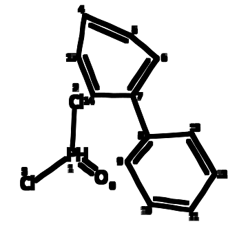 O=[PH](Cl)Cl.c1ccc(-c2ccccc2)cc1